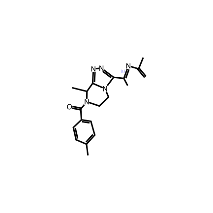 C=C(C)/N=C(\C)c1nnc2n1CCN(C(=O)c1ccc(C)cc1)C2C